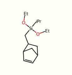 CCO[Si](CC1CC2C=CC1C2)(OCC)C(C)C